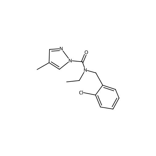 CCN(Cc1ccccc1Cl)C(=O)n1cc(C)cn1